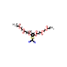 C=CC(=O)OCCOC(=O)CCC(=O)Oc1cc(C)c(OC(=O)CCC(=O)OCCOC(=O)C=C)c2c1SC(=C(C#N)C#N)S2